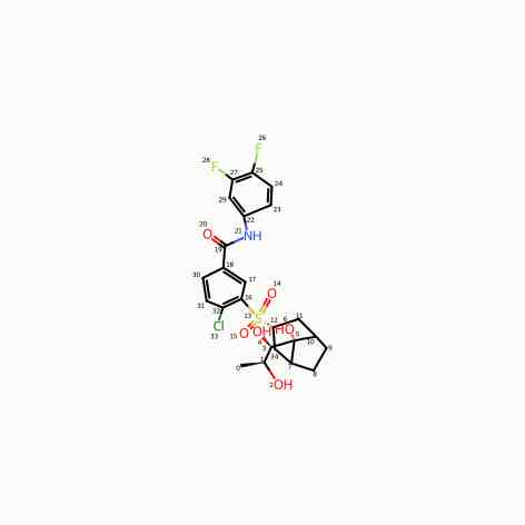 C[C@H](O)[C@@H](O)[C@]1(O)C2CCC1C[C@@H](S(=O)(=O)c1cc(C(=O)Nc3ccc(F)c(F)c3)ccc1Cl)C2